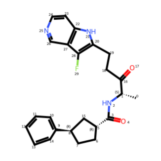 C[C@H](NC(=O)[C@@H]1CC[C@@H](c2ccccc2)C1)C(=O)CCc1[nH]c2ccncc2c1F